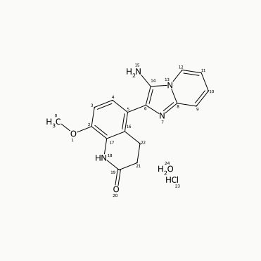 COc1ccc(-c2nc3ccccn3c2N)c2c1NC(=O)CC2.Cl.O